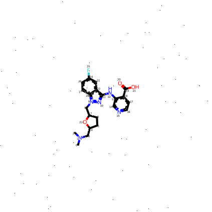 CN(C)CC1CCC(Cn2nc(Nc3cnccc3C(=O)O)c3cc(F)ccc32)O1